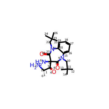 C[C@H](N)C(=O)C1(N)C(=O)N(CC(C)(C)C)c2ccccc2N(CC(C)(C)C)C1=O